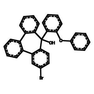 OC1(c2ccccc2Oc2ccccc2)c2ccccc2-c2ccccc2-c2cc(Br)ccc21